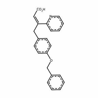 O=C(O)C=C(Cc1ccc(OCc2ccccc2)cc1)c1ccccn1